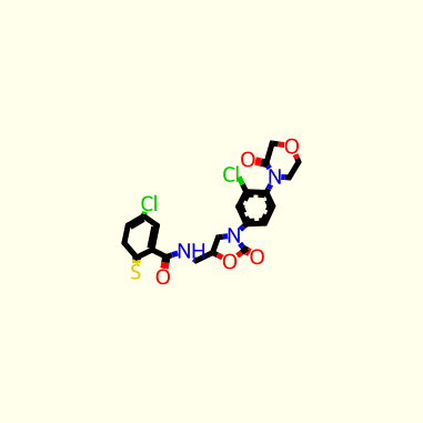 O=C(NCC1CN(c2ccc(N3CCOCC3=O)c(Cl)c2)C(=O)O1)C1=CC(Cl)=CCC1=S